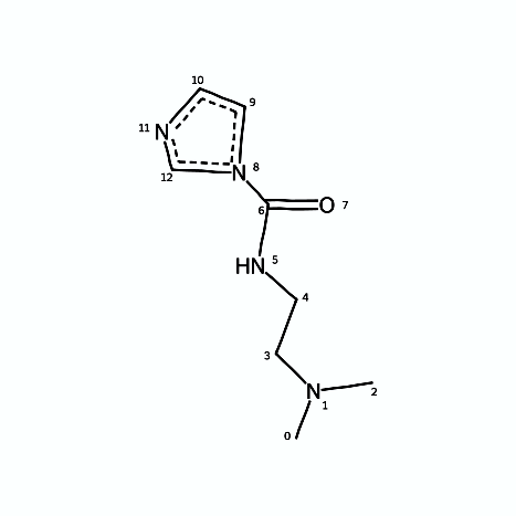 CN(C)CCNC(=O)n1ccnc1